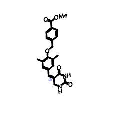 COC(=O)c1ccc(COc2c(C)cc(/C=C3/CNC(=O)NC3=O)cc2C)cc1